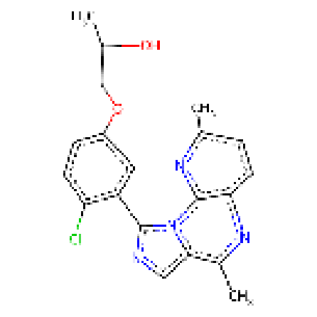 Cc1ccc2nc(C)c3cnc(-c4cc(OCC(C)O)ccc4Cl)n3c2n1